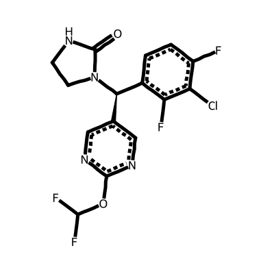 O=C1NCCN1[C@H](c1cnc(OC(F)F)nc1)c1ccc(F)c(Cl)c1F